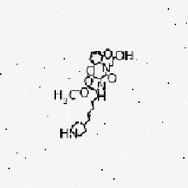 CCOC(=O)C(CCCCCC1CCNCC1)N[C@H]1COc2ccccc2N(CC(=O)O)C1=O